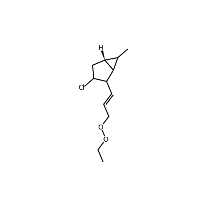 CCOOC/C=C/C1C(Cl)C[C@@H]2C(C)C12